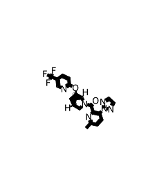 Cc1ccc(-n2nccn2)c(C(=O)N2C[C@@H]3C[C@@H](Oc4ccc(C(F)(F)F)cn4)[C@@H]2C3)n1